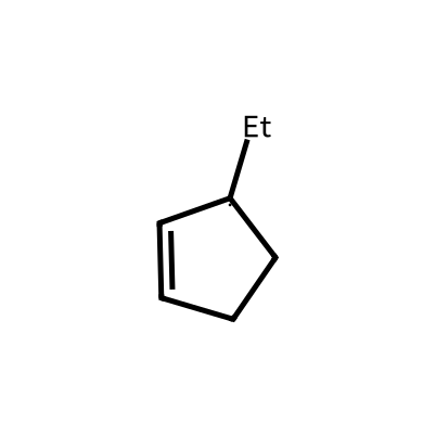 CC[C]1C=CCC1